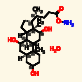 C[C@H](CCC(=O)ON)[C@H]1CC[C@H]2[C@@H]3[C@H](O)C[C@@H]4C[C@H](O)CC[C@]4(C)[C@H]3C[C@H](O)[C@]12C.O